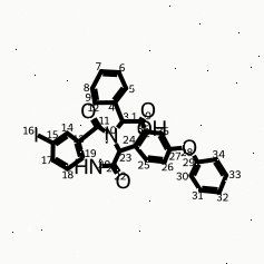 O=C(O)C(c1ccccc1)N1C(=O)c2cc(I)ccc2NC(=O)C1c1ccc(Oc2ccccc2)cc1